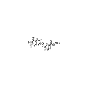 CC1(C)Cc2cc(OC/C(=C/F)CNC(=O)OC(C)(C)C)ccc2C(=O)N1